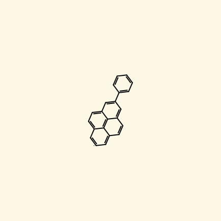 [c]1cc2ccc3cc(-c4ccccc4)cc4ccc(c1)c2c34